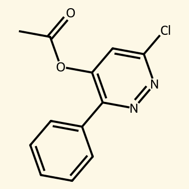 CC(=O)Oc1cc(Cl)nnc1-c1ccccc1